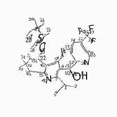 CC(C)c1nc2c(c(I)c1[C@H](O)c1ccc(C(F)(F)F)cn1)[C@@H](O[Si](C)(C)C(C)(C)C)CC(C)(C)C2